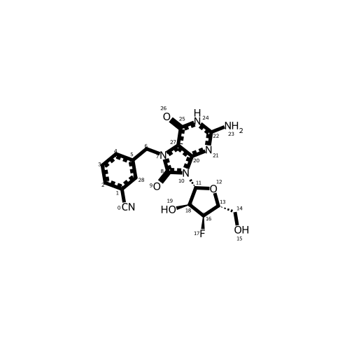 N#Cc1cccc(Cn2c(=O)n([C@@H]3O[C@H](CO)[C@@H](F)[C@H]3O)c3nc(N)[nH]c(=O)c32)c1